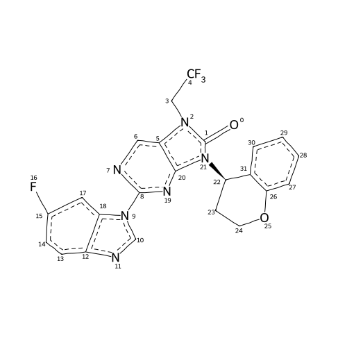 O=c1n(CC(F)(F)F)c2cnc(-n3cnc4ccc(F)cc43)nc2n1[C@@H]1CCOc2ccccc21